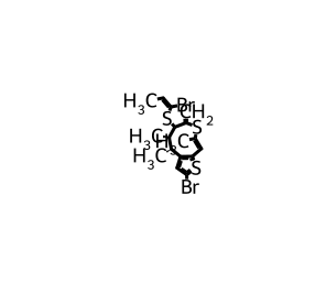 C=C1S/C(C)=C/c2sc(Br)cc2[C@H](C)[C@@H](C)C1S/C(Br)=C\C